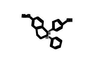 COc1ccc2c(c1)CC[C@@H](c1ccccc1)[C@H]2c1ccc(O)cc1